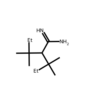 CCC(C)(C)C(C(=N)N)C(C)(C)CC